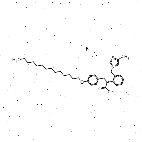 CCCCCCCCCCCCCCOc1ccc(CN(C(C)=O)c2ccccc2C[n+]2csc(C)c2)cc1.[Br-]